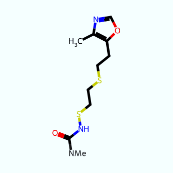 CNC(=O)NSCCSCCc1ocnc1C